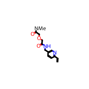 C=Cc1ccc(CNC(=O)COCC(=O)NC)cn1